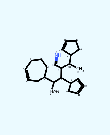 CNC(C1CC=CCCC1)C(C1C=C=CC1)C(C=N)C(C)C1C=CCC1